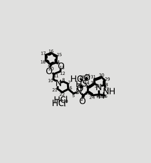 Cl.Cl.O=C(NCC1CCN(CC2COc3ccccc3O2)CC1)C1=C[C@@H]2CNC3=CC=CC(=C1S(=O)(=O)O)N32